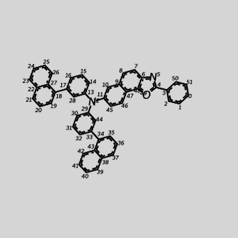 c1ccc(-c2nc3ccc4cc(N(c5cccc(-c6cccc7ccccc67)c5)c5cccc(-c6cccc7ccccc67)c5)ccc4c3o2)cc1